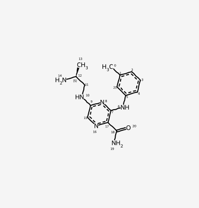 Cc1cccc(Nc2nc(NC[C@H](C)N)cnc2C(N)=O)c1